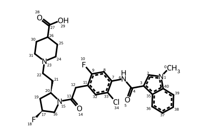 Cn1cc(C(=O)Nc2cc(F)c(CC(=O)N3C[C@@H](F)C[C@H]3CCN3CCC(C(=O)O)CC3)cc2Cl)c2ccccc21